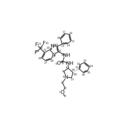 COCCN1CC(NC(=O)Nc2c(-c3ccccc3)nc3c(C(F)(F)F)cccn23)[C@H](c2ccccc2)C1